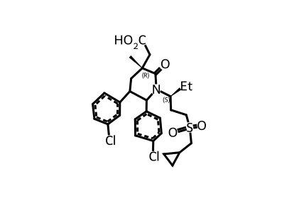 CC[C@@H](CCS(=O)(=O)CC1CC1)N1C(=O)[C@@](C)(CC(=O)O)CC(c2cccc(Cl)c2)C1c1ccc(Cl)cc1